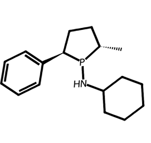 C[C@H]1CC[C@H](c2ccccc2)P1NC1CCCCC1